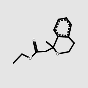 CCOC(=O)CC1(C)OCCc2ccccc21